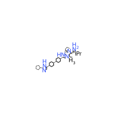 CC(C)[C@@H](N)C(C)N1CCC[C@H]1c1ncc(-c2ccc(-c3ccc(-c4cnc(C5CCCC5)[nH]4)cc3)cc2)[nH]1